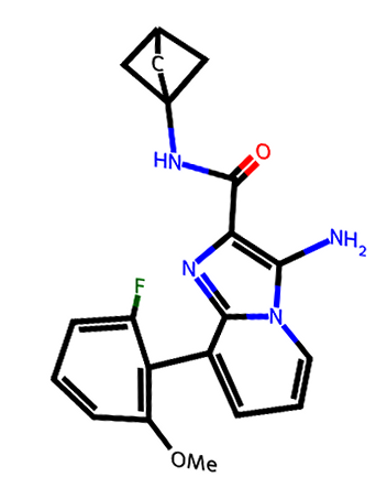 COc1cccc(F)c1-c1cccn2c(N)c(C(=O)NC34CC(C3)C4)nc12